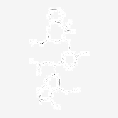 CC[C@@H]1CN(Cc2cc(C(CC(=O)O)c3cc(OC)c4c(c3)nnn4C)ccc2C)S(=O)(=O)c2cccnc2O1